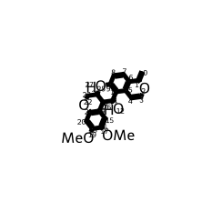 C=C1OC=Cc2c1ccc1c2C(=O)[C@H]2c3cc(OC)c(OC)cc3OC[C@H]2O1